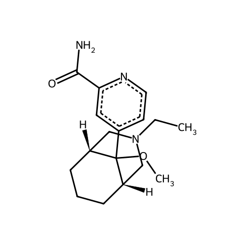 CCN1C[C@H]2CCC[C@@H](C1)C2(OC)c1ccnc(C(N)=O)c1